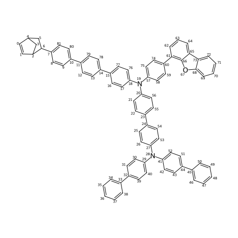 C1=CC2CC1CC2c1ccc(-c2ccc(-c3ccc(N(c4ccc(-c5ccc(N(c6ccc(-c7ccccc7)cc6)c6ccc(-c7ccccc7)cc6)cc5)cc4)c4ccc(-c5cccc6c5oc5ccccc56)cc4)cc3)cc2)cc1